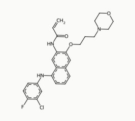 C=CC(=O)Nc1cc2c(Nc3ccc(F)c(Cl)c3)cccc2cc1OCCCN1CCOCC1